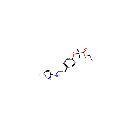 CCOC(=O)C(C)(C)Oc1ccc(CCNc2ccc(Br)cn2)cc1